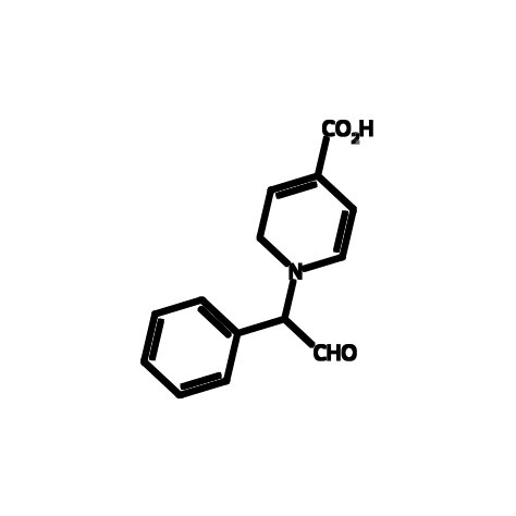 O=CC(c1ccccc1)N1C=CC(C(=O)O)=CC1